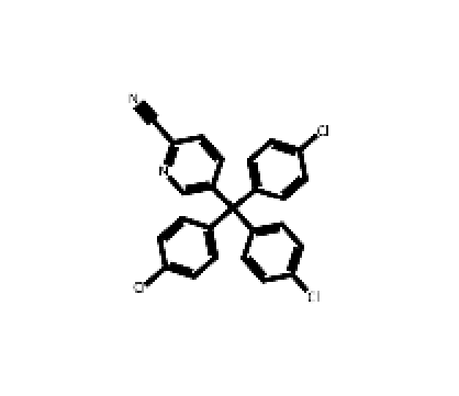 N#Cc1ccc(C(c2ccc(Cl)cc2)(c2ccc(Cl)cc2)c2ccc(Cl)cc2)cn1